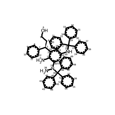 Nc1c([C@H](CCO)c2ccccc2)cc(NC(c2ccccc2)(c2ccccc2)c2ccccc2)nc1N(N)C(c1ccccc1)(c1ccccc1)c1ccccc1